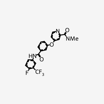 CNC(=O)c1cc(Oc2cccc(C(=O)Nc3ccc(F)c(C(F)(F)F)c3)c2)ccn1